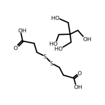 O=C(O)CCSSCCC(=O)O.OCC(CO)(CO)CO